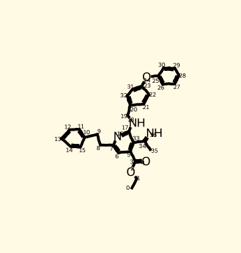 CCOC(=O)c1cc(CCc2ccccc2)nc(NCc2ccc(Oc3ccccc3)cc2)c1C(C)=N